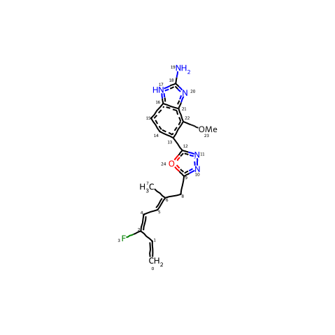 C=C/C(F)=C\C=C(/C)Cc1nnc(-c2ccc3[nH]c(N)nc3c2OC)o1